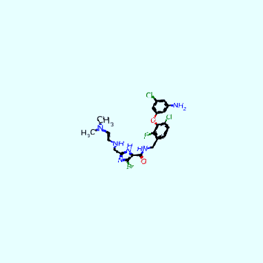 CN(C)CCNCc1nc(Br)c(C(=O)NCc2ccc(Cl)c(Oc3cc(N)cc(Cl)c3)c2F)[nH]1